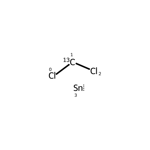 Cl[13CH2]Cl.[Sn]